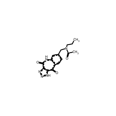 CCCN(Cc1ccc2c(=O)c3[nH]nnc3c(=O)[nH]c2c1)C(C)=O